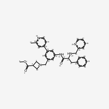 COC(=O)C1CN(Cc2cc(NC(=O)C(Cc3ccccc3)NCc3ccccn3)cc(-c3ccnc(C)c3)c2)C1